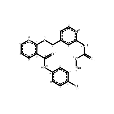 CC(C)(C)OC(=O)Nc1cc(CSc2ncccc2C(=O)Nc2ccc(Cl)cc2)ccn1